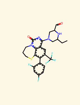 CCC1CN(c2nc(=O)n3c4c(c(-c5ccc(F)cc5F)c(C(F)(F)F)cc24)SCCC3)CC(C=O)N1